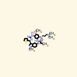 C=CC(=O)Nc1cc(Nc2nc(-c3cn(C)c4ccc(C)cc34)c3sccc3n2)c(OC)cc1NCCCN(C)C